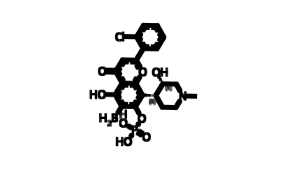 Bc1c(OP(=O)(O)O)c([C@H]2CCN(C)C[C@H]2O)c2oc(-c3ccccc3Cl)cc(=O)c2c1O